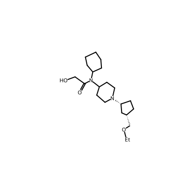 CCOC[C@H]1CC[C@@H](N2CCC(N(C(=O)CO)C3CCCCC3)CC2)C1